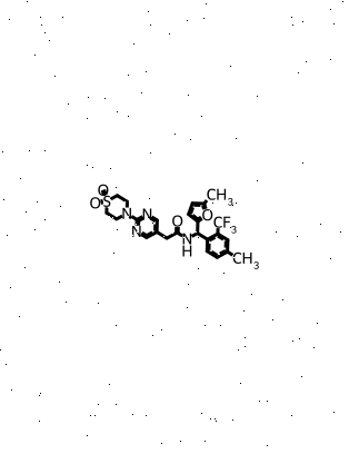 Cc1ccc(C(NC(=O)Cc2cnc(N3CCS(=O)(=O)CC3)nc2)c2ccc(C)o2)c(C(F)(F)F)c1